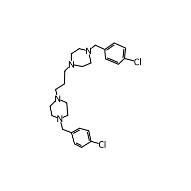 Clc1ccc(CN2CCN(CCCN3CCN(Cc4ccc(Cl)cc4)CC3)CC2)cc1